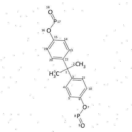 CC(C)(c1ccc(OP=O)cc1)c1ccc(OP=O)cc1